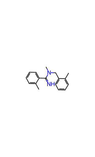 Cc1ccccc1CN(C)C(=N)c1ccccc1C